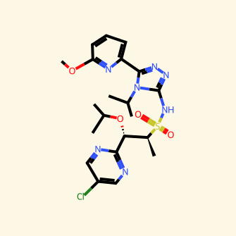 COc1cccc(-c2nnc(NS(=O)(=O)[C@@H](C)[C@@H](OC(C)C)c3ncc(Cl)cn3)n2C(C)C)n1